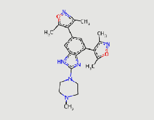 Cc1noc(C)c1-c1cc(-c2c(C)noc2C)c2nc(N3CCN(C)CC3)[nH]c2c1